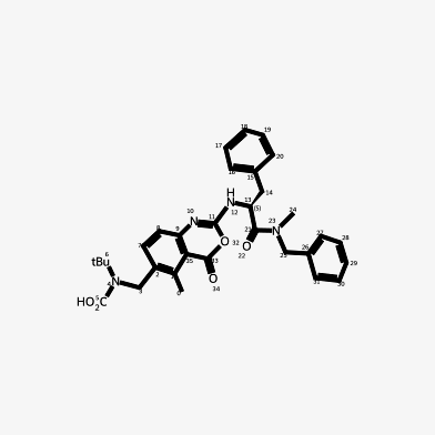 Cc1c(CN(C(=O)O)C(C)(C)C)ccc2nc(N[C@@H](Cc3ccccc3)C(=O)N(C)Cc3ccccc3)oc(=O)c12